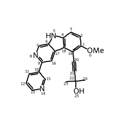 COc1ccc2[nH]c3cnc(-c4cccnc4)cc3c2c1C#CC(C)(C)O